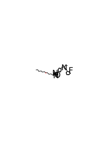 CCCCCCCCCCCc1noc(-c2ccc(CN(CC)CCc3ccccc3F)cc2)n1